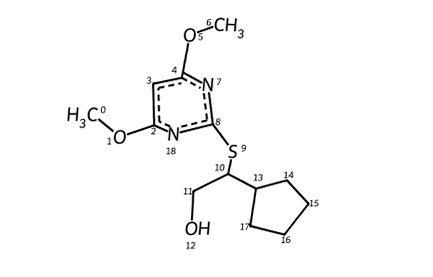 COc1cc(OC)nc(SC(CO)C2CCCC2)n1